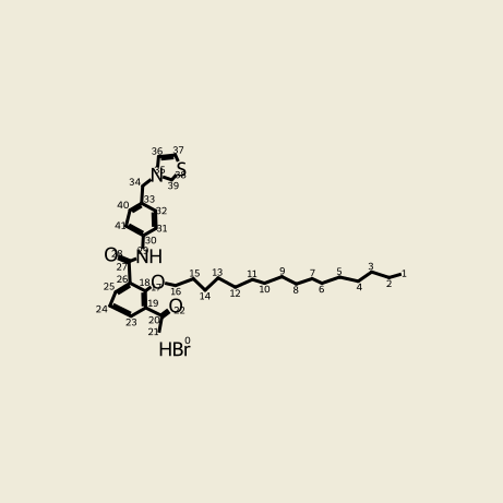 Br.CCCCCCCCCCCCCCCCOc1c(C(C)=O)cccc1C(=O)Nc1ccc(CN2C=CSC2)cc1